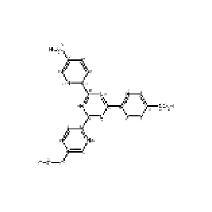 O=COc1ccc(-c2nc(-c3ccc(C(=O)O)cn3)nc(-c3ccc(C(=O)O)cn3)n2)nc1